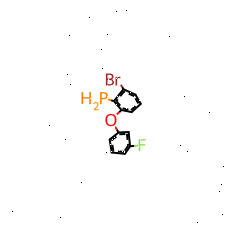 Fc1cccc(Oc2cccc(Br)c2P)c1